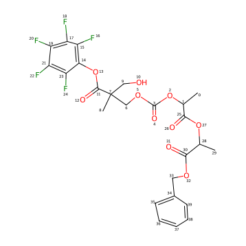 CC(OC(=O)OCC(C)(CO)C(=O)Oc1c(F)c(F)c(F)c(F)c1F)C(=O)OC(C)C(=O)OCc1ccccc1